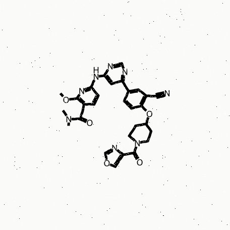 COc1nc(Nc2cc(-c3ccc(OC4CCN(C(=O)c5cocn5)CC4)c(C#N)c3)ncn2)ccc1C(=O)N(C)C